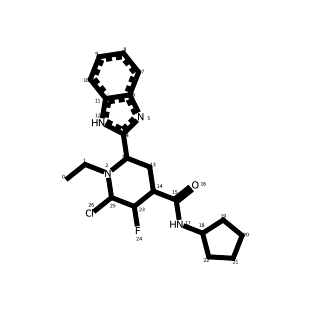 CCN1C(c2nc3ccccc3[nH]2)CC(C(=O)NC2CCCC2)C(F)C1Cl